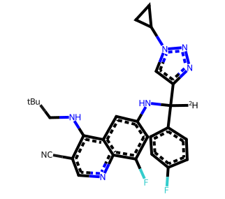 [2H]C(Nc1cc(F)c2ncc(C#N)c(NCC(C)(C)C)c2c1)(c1ccc(F)cc1)c1cn(C2CC2)nn1